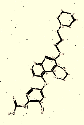 CNC(=O)Nc1ccc(Oc2ccnc3cc(OCCCN4CCOCC4)c4c(c23)OCCO4)cc1Cl